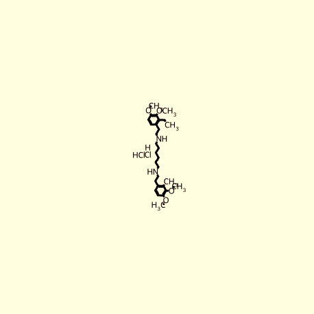 CCc1c(CCNCCCCCCNCCc2ccc(OC)c(OC)c2C)ccc(OC)c1OC.Cl.Cl